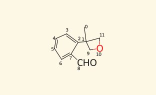 CC1(c2ccccc2C=O)COC1